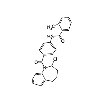 Cc1ccccc1C(=O)Nc1ccc(C(=O)N2c3ccccc3CCCC2Cl)cc1